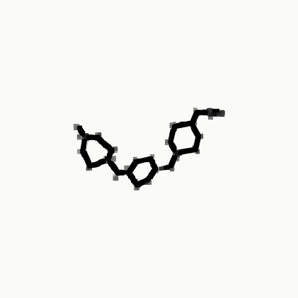 COCC1CCN(C[C@H]2CC[C@H](CN3CCN(C)CC3)CC2)CC1